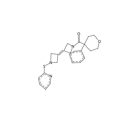 O=C(N1CC(=C2CN(Sc3ccccn3)C2)C1)C1(c2ccccc2)CCOCC1